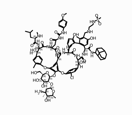 CN[C@H](CC(C)C)C(=O)N[C@H]1C(=O)N[C@@H](CC(=O)NC(=O)Nc2ccc(OC)cc2)C(=O)N[C@H]2C(=O)N[C@H]3C(=O)N[C@H](C(=O)N[C@H](C(=O)NC4C5CC6CC(C5)CC4C6)c4cc(O)c(CNCCNS(C)(=O)=O)c(C)c4-c4cc3ccc4O)[C@H](O)c3ccc(c(Cl)c3)Oc3cc2cc(c3O[C@@H]2O[C@H](CO)[C@@H](O)[C@H](O)[C@H]2O[C@H]2C[C@](C)(N)[C@H](O)[C@H](C)O2)Oc2ccc(cc2C)[C@H]1O